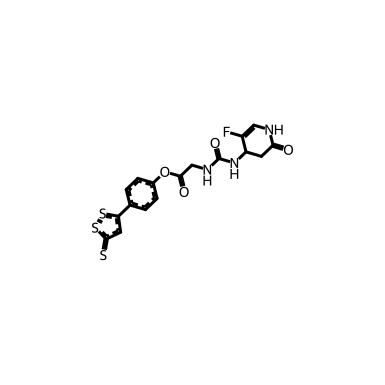 O=C1CC(NC(=O)NCC(=O)Oc2ccc(-c3cc(=S)ss3)cc2)C(F)=CN1